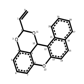 C=CC1Oc2cccc3c2C(O1)c1c(ccc2ccccc12)O3